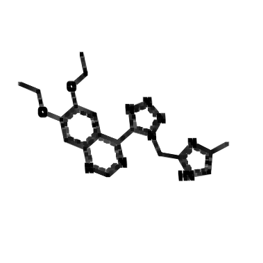 CCOc1cc2ncnc(-c3nnnn3Cc3nc(C)c[nH]3)c2cc1OCC